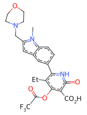 CCc1c(-c2ccc3c(c2)cc(CN2CCOCC2)n3C)[nH]c(=O)c(C(=O)O)c1OC(=O)C(F)(F)F